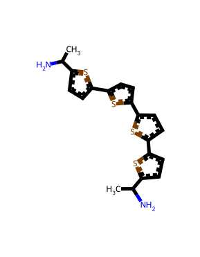 CC(N)c1ccc(-c2ccc(-c3ccc(-c4ccc(C(C)N)s4)s3)s2)s1